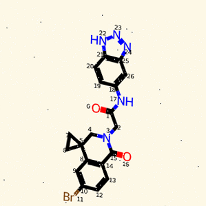 O=C(CN1CC2(CC2)c2cc(Br)ccc2C1=O)Nc1ccc2[nH]nnc2c1